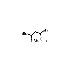 CCC(C)C(CC(C)C(C)C)NC